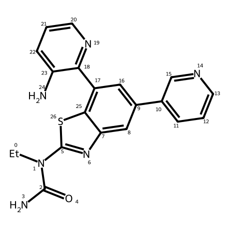 CCN(C(N)=O)c1nc2cc(-c3cccnc3)cc(-c3ncccc3N)c2s1